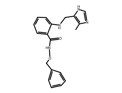 Cc1nc[nH]c1CNc1ccccc1C(=O)NOCc1ccccc1